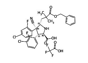 CC(C)(C[C@@H]1N[C@@H](C(=O)O)[C@H](c2cccc(Cl)c2F)[C@@]1(C#N)c1ccc(Cl)cc1F)C(=O)OCc1ccccc1.O=C(O)C(F)(F)F